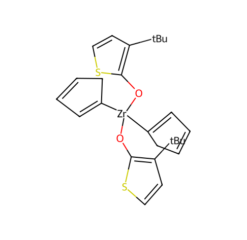 CC(C)(C)c1ccsc1[O][Zr]([O]c1sccc1C(C)(C)C)([C]1=CC=CC1)[C]1=CC=CC1